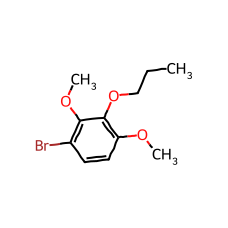 CCCOc1c(OC)ccc(Br)c1OC